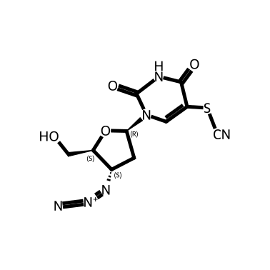 N#CSc1cn([C@H]2C[C@H](N=[N+]=[N-])[C@@H](CO)O2)c(=O)[nH]c1=O